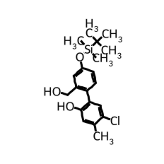 Cc1cc(O)c(-c2ccc(O[Si](C)(C)C(C)(C)C)cc2CO)cc1Cl